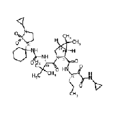 CCC[C@H](NC(=O)[C@@H]1[C@@H]2[C@H](CN1C(=O)[C@@H](NC(=O)NC1([C@H]3CCN(C4CC4)S3(=O)=O)CCCCC1)C(C)(C)C)C2(C)C)C(=O)C(=O)NC1CC1